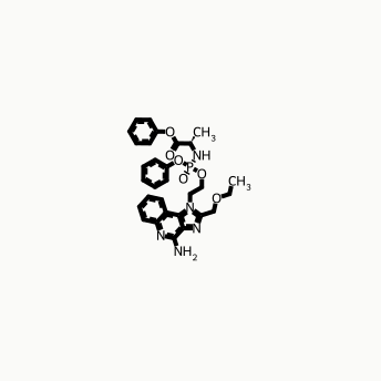 CCOCc1nc2c(N)nc3ccccc3c2n1CCOP(=O)(N[C@@H](C)C(=O)Oc1ccccc1)Oc1ccccc1